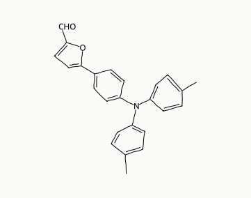 Cc1ccc(N(c2ccc(C)cc2)c2ccc(-c3ccc(C=O)o3)cc2)cc1